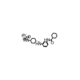 CC(C)S(=O)(=O)N[C@H]1CC[C@H](CNc2cccc(NC(=O)C3CCCCC3)c2)CC1